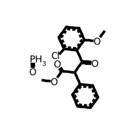 COC(=O)C(C(=O)c1c(Cl)cccc1OC)c1ccccc1.O=[PH3]